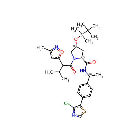 Cc1cc(C(C(=O)N2C[C@H](O[Si](C)(C)C(C)(C)C)C[C@H]2C(=O)N[C@@H](C)c2ccc(-c3scnc3Cl)cc2)C(C)C)on1